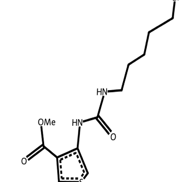 COC(=O)c1cscc1NC(=O)NCCCCCBr